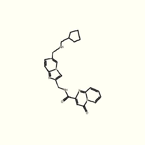 O=C(NCc1cn2cc(CNCC3CCCC3)ccc2n1)c1cc(=O)n2ccccc2n1